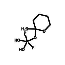 OP(O)(F)(F)OC1([SiH3])CCCCO1